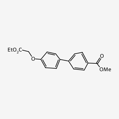 CCOC(=O)COc1ccc(-c2ccc(C(=O)OC)cc2)cc1